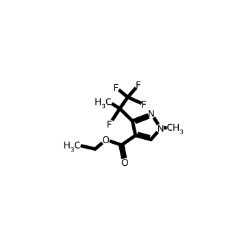 CCOC(=O)c1cn(C)nc1C(C)(F)C(F)(F)F